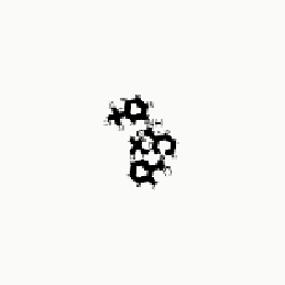 Cc1ccccc1C(=O)N1CCCC(C(=O)Nc2cccc(C(C)(C)C)c2)[C@@H]1CC(C)(C)C